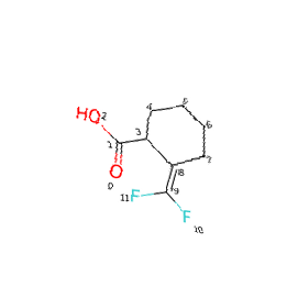 O=C(O)C1CCCCC1=C(F)F